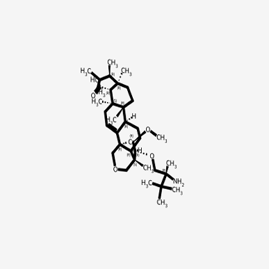 CO[C@@H]1C[C@@]23COC[C@](C)([C@@H]2CC[C@H]2C3=CC[C@@]3(C)[C@H](C(=O)O)[C@@](C)([C@H](C)C(C)C)CC[C@]23C)[C@H]1OC[C@](C)(N)C(C)(C)C